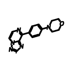 [c]1nc2c(-c3ccc(N4CCOCC4)cc3)nccn2n1